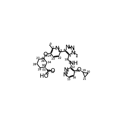 Cc1nc(-c2nnn(C)c2CNc2nnccc2OC2CC2)ccc1O[C@H]1CCC[C@H](C(=O)O)C1